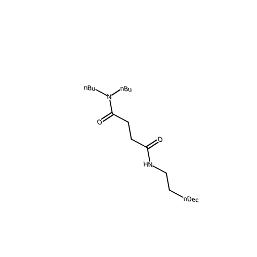 CCCCCCCCCCCCNC(=O)CCC(=O)N(CCCC)CCCC